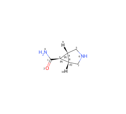 NC(=O)[C@H]1[C@@H]2CNC[C@@H]21